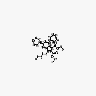 CCCCCc1c(C(=O)OCC)c(C(=O)OCC)c2c(-c3ccccc3)cc(N3CCOCC3)nn12